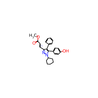 COC(=O)/C=C/c1nn(C2CCCCC2)c(-c2ccc(O)cc2)c1-c1ccccc1